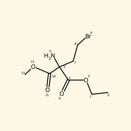 CCOC(=O)C(N)(CCBr)C(=O)OC